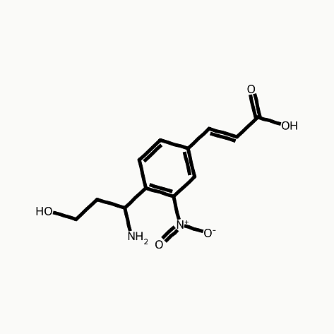 NC(CCO)c1ccc(C=CC(=O)O)cc1[N+](=O)[O-]